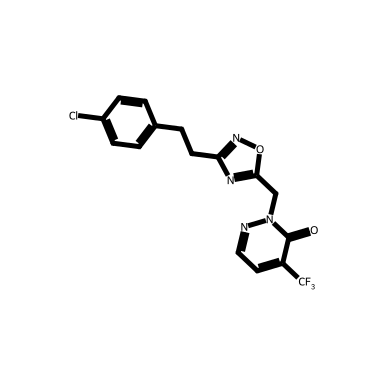 O=c1c(C(F)(F)F)ccnn1Cc1nc(CCc2ccc(Cl)cc2)no1